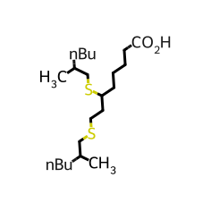 CCCCC(C)CSCCC(CCCCC(=O)O)SCC(C)CCCC